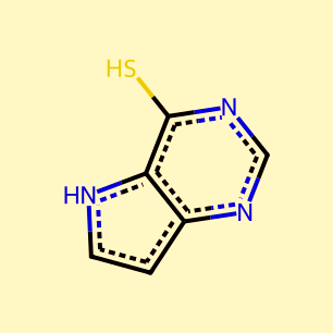 Sc1ncnc2cc[nH]c12